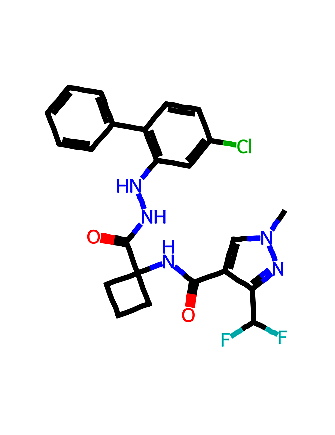 Cn1cc(C(=O)NC2(C(=O)NNc3cc(Cl)ccc3-c3ccccc3)CCC2)c(C(F)F)n1